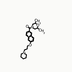 CC1CN(C(=O)c2ccc3cc(OCCCN4CCCCC4)ccc3c2)CC(C)O1